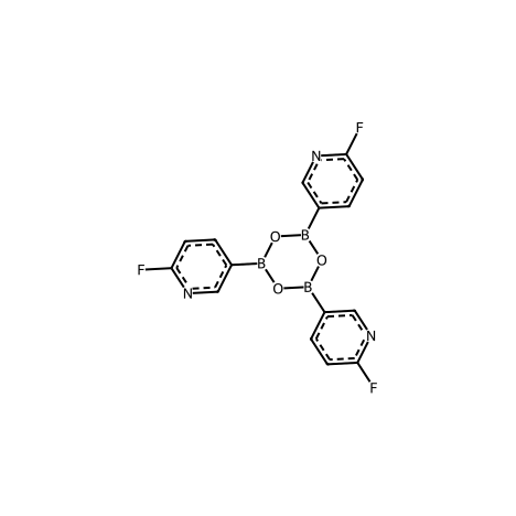 Fc1ccc(B2OB(c3ccc(F)nc3)OB(c3ccc(F)nc3)O2)cn1